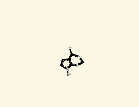 CCc1ncnc2c1ccn2C(C)C